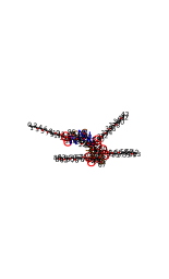 CCCCCCCCCCCCCCOC(=O)c1nc(-c2ccc(-c3nc(C(=O)OCCCCCCCCCCCCCC)c(-c4cc5c(C(=O)OCCCCCCCCCCCC)c6sc(C)cc6c(C(=O)OCCCCCCCCCCCC)c5s4)s3)c3nsnc23)sc1C